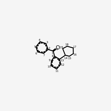 O=C(c1ccccc1)c1ccccc1C1CCCCC1